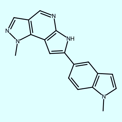 Cn1ccc2cc(-c3cc4c(ncc5cnn(C)c54)[nH]3)ccc21